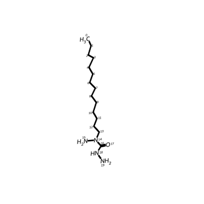 CCCCCCCCCCCCCCN(N)C(=O)NN